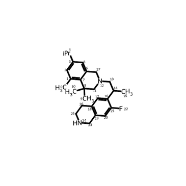 Cc1cc(C(C)C)cc2c1C(C)(C)CN(CC(C)c1cc3c(cc1F)CNCC3)C2